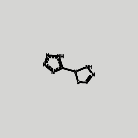 [C]1=NNN(c2nnn[nH]2)S1